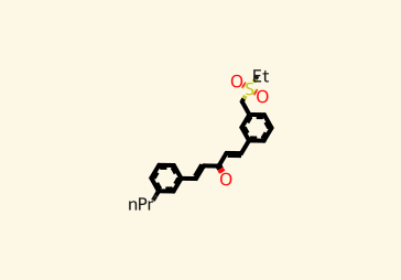 CCCc1cccc(/C=C/C(=O)/C=C/c2cccc(CS(=O)(=O)CC)c2)c1